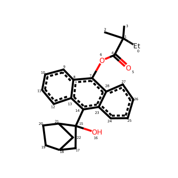 CCC(C)(C)C(=O)Oc1c2ccccc2c(C2(O)CC3CCC2C3)c2ccccc12